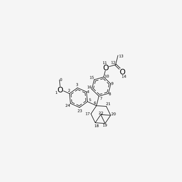 COc1ccc(C2(c3ccc(OC(C)=O)cc3)CC3C4C(C2)C34)cc1